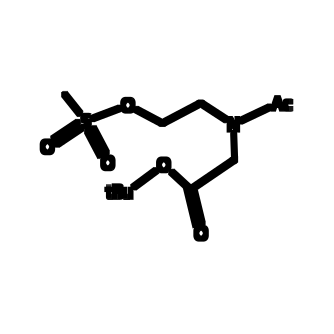 CC(=O)N(CCOS(C)(=O)=O)CC(=O)OC(C)(C)C